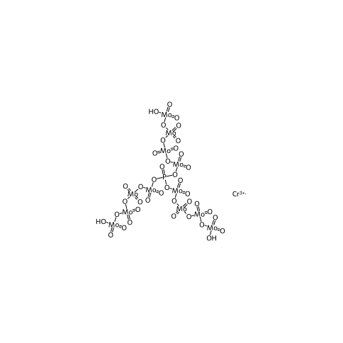 O=P([O][Mo](=[O])(=[O])[O][Mo](=[O])(=[O])[O][Mo](=[O])(=[O])[O][Mo](=[O])(=[O])[OH])([O][Mo](=[O])(=[O])[O][Mo](=[O])(=[O])[O][Mo](=[O])(=[O])[O][Mo](=[O])(=[O])[OH])[O][Mo](=[O])(=[O])[O][Mo](=[O])(=[O])[O][Mo](=[O])(=[O])[O][Mo](=[O])(=[O])[OH].[Cr+3]